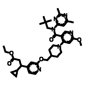 CCOC(=O)CC(c1ccnc(OCC2CCN(c3cc(OC)ncc3C(=O)N(CC(C)(C)C)c3cc(C)nc(C)n3)CC2)c1)C1CC1